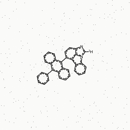 [2H]c1nc2ccc(-c3c4ccccc4c(-c4ccccc4)c4ccccc34)c3c4ccccc4n1c23